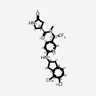 CN(C(=O)[C@H]1CNC(=O)C1)[C@@H](c1ccc(NC2Cc3ccc(Cl)c(Cl)c3C2)nc1)C(F)(F)F